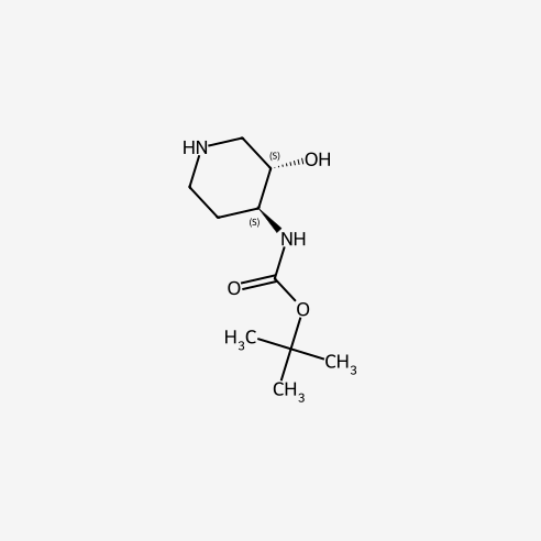 CC(C)(C)OC(=O)N[C@H]1CCNC[C@@H]1O